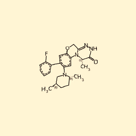 C[C@@H]1CC[C@@H](C)N(c2cc3c(cc2-c2ccccc2F)OCC2=NNC(=O)[C@H](C)N23)C1